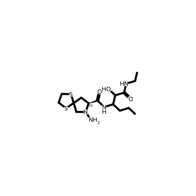 CCCC(NC(=O)[C@@H]1CC2(CN1N)SCCS2)C(O)C(=O)NCC